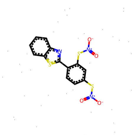 O=[N+]([O-])Sc1ccc(-c2nc3ccccc3s2)c(S[N+](=O)[O-])c1